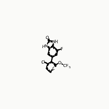 O=c1[nH]c2cc(-c3c(Cl)cccc3OC(F)(F)F)cc(F)c2[nH]1